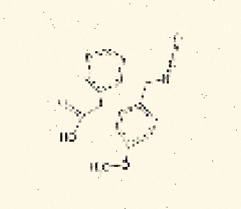 COc1ccc(CN=C=O)cc1.O=C(O)Cc1ccccc1